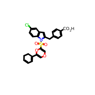 O=C(O)c1ccc(Cc2cc3cc(Cl)ccc3n2S(=O)(=O)C2=COC=C(C3=CC=CCC3)O2)cc1